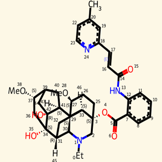 CCN1C[C@]2(OC(=O)c3ccccc3NC(=O)/C=C/c3cc(C)ccn3)CC[C@H](OC)[C@]34C1[C@@H](C[C@H]23)[C@@]1(O)C[C@H](OC)C2C[C@@H]4[C@]1(O)C2